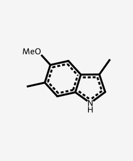 COc1cc2c(C)c[nH]c2cc1C